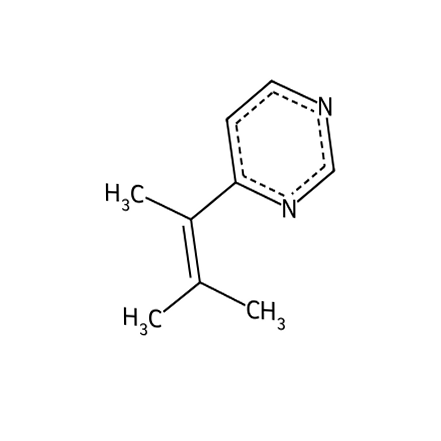 CC(C)=C(C)c1ccncn1